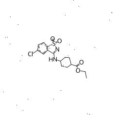 CCOC(=O)C1CCC(NC2=NS(=O)(=O)c3ccc(Cl)cc32)CC1